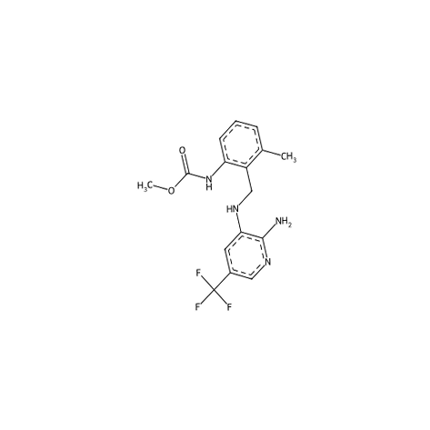 COC(=O)Nc1cccc(C)c1CNc1cc(C(F)(F)F)cnc1N